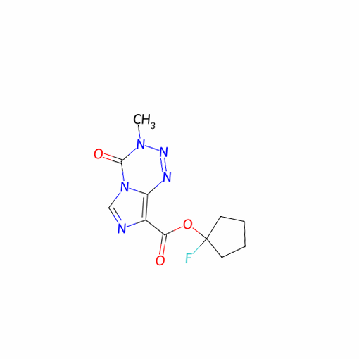 Cn1nnc2c(C(=O)OC3(F)CCCC3)ncn2c1=O